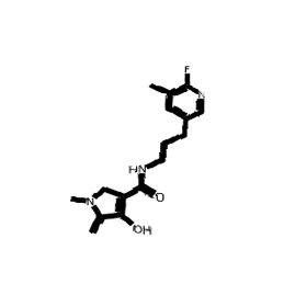 C=C1C(O)=C(C(=O)NCCCc2cnc(F)c(C)c2)CN1C